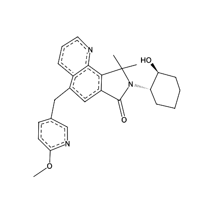 COc1ccc(Cc2cc3c(c4ncccc24)C(C)(C)N([C@H]2CCCC[C@@H]2O)C3=O)cn1